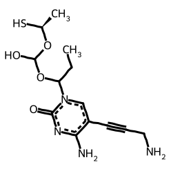 CCC(OC(O)O[C@H](C)S)n1cc(C#CCN)c(N)nc1=O